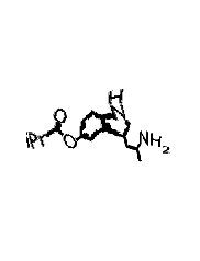 CC(N)Cc1c[nH]c2ccc(OC(=O)C(C)C)cc12